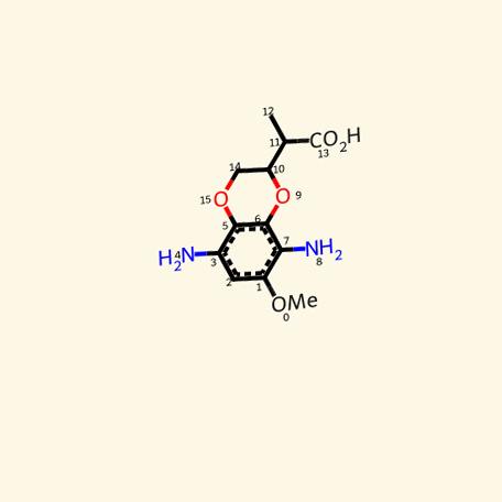 COc1cc(N)c2c(c1N)OC(C(C)C(=O)O)CO2